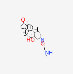 C=C1CC2(O)CC(=NOCCNC)CC[C@]2(C)[C@@H]2CC[C@]3(C)C(=O)CC[C@H]3[C@H]12